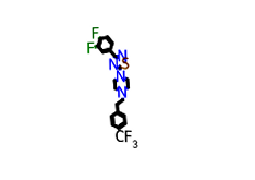 Fc1ccc(-c2nsc(N3CCN(CCc4ccc(C(F)(F)F)cc4)CC3)n2)cc1F